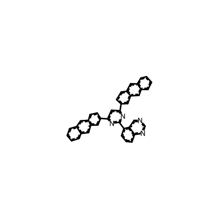 c1ccc2cc3cc(-c4cc(-c5ccc6cc7ccccc7cc6c5)nc(-c5cccc6ncncc56)n4)ccc3cc2c1